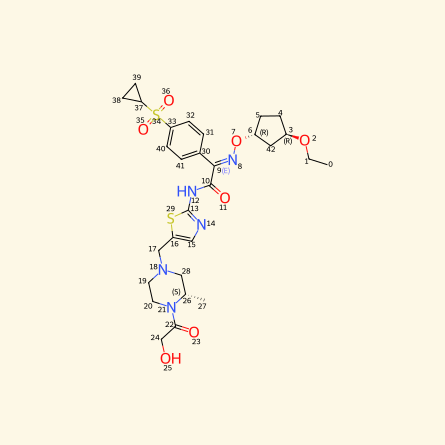 CCO[C@@H]1CC[C@@H](O/N=C(/C(=O)Nc2ncc(CN3CCN(C(=O)CO)[C@@H](C)C3)s2)c2ccc(S(=O)(=O)C3CC3)cc2)C1